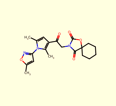 Cc1cc(-n2c(C)cc(C(=O)CN3C(=O)OC4(CCCCC4)C3=O)c2C)no1